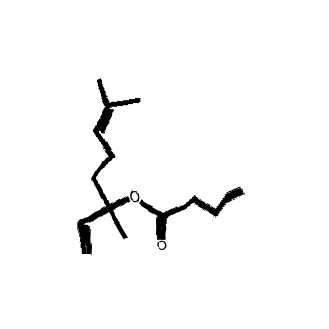 C=CC(C)(CCC=C(C)C)OC(=O)CCC